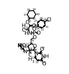 C[C@H](NP(=O)(OC[C@H]1O[C@@H](n2ccc(=O)[nH]c2=O)[C@](C)(N=[N+]=[N-])[C@@H]1O)Oc1ccc(Cl)cc1)C(=O)OC1CCCCC1